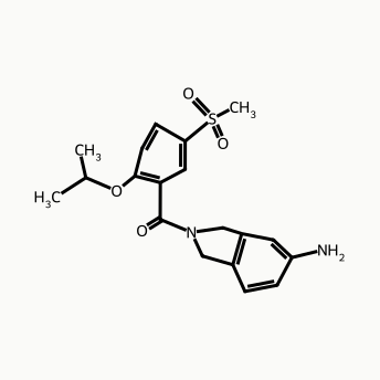 CC(C)Oc1ccc(S(C)(=O)=O)cc1C(=O)N1Cc2ccc(N)cc2C1